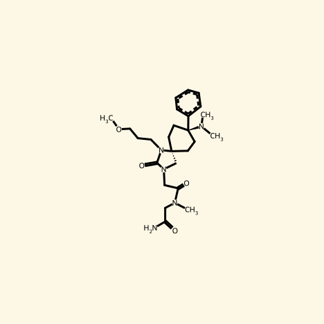 COCCCN1C(=O)N(CC(=O)N(C)CC(N)=O)C[C@]12CC[C@](c1ccccc1)(N(C)C)CC2